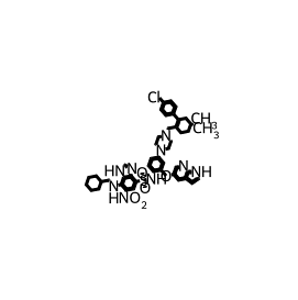 CC1(C)CCC(CN2CCN(c3ccc(NS(=O)(=O)c4cc([N+](=O)[O-])c(NCC5CCCCC5)c5[nH]cnc45)c(Oc4cnc5[nH]ccc5c4)c3)CC2)=C(c2ccc(Cl)cc2)C1